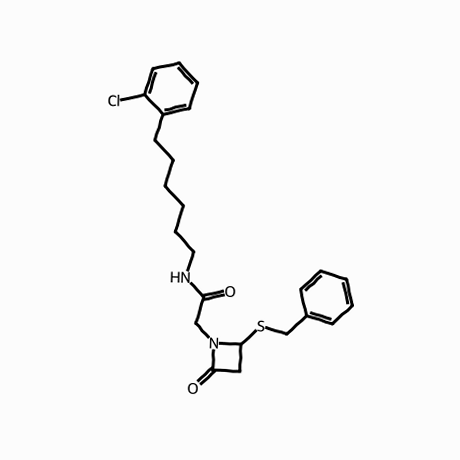 O=C(CN1C(=O)CC1SCc1ccccc1)NCCCCCCc1ccccc1Cl